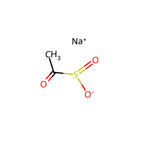 CC(=O)S(=O)[O-].[Na+]